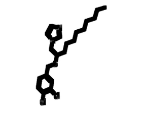 CCCCCCCCCC(Cn1ccnc1)SCc1ccc(Cl)c(Cl)c1